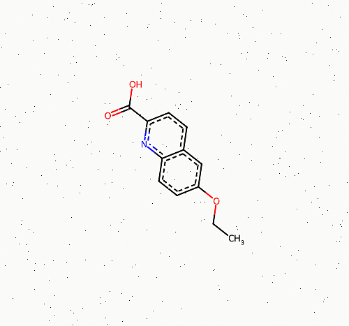 CCOc1ccc2nc(C(=O)O)ccc2c1